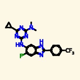 CN(C)c1nc(Nc2cc3[nH]c(-c4ccc(C(F)(F)F)cc4)nc3cc2F)nc(C2CC2)n1